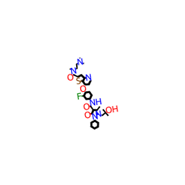 Cc1c(C(=O)Nc2ccc(Oc3ccnc4cc(C(=O)N(C)CCN(C)C)sc34)c(F)c2)c(=O)n(-c2ccccc2)n1CC(C)(C)O